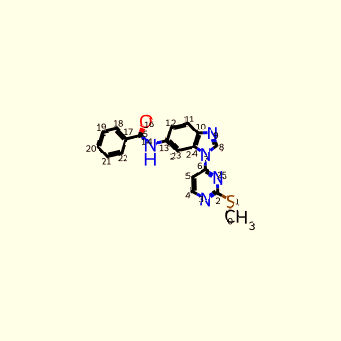 CSc1nccc(-n2cnc3ccc(NC(=O)c4ccccc4)cc32)n1